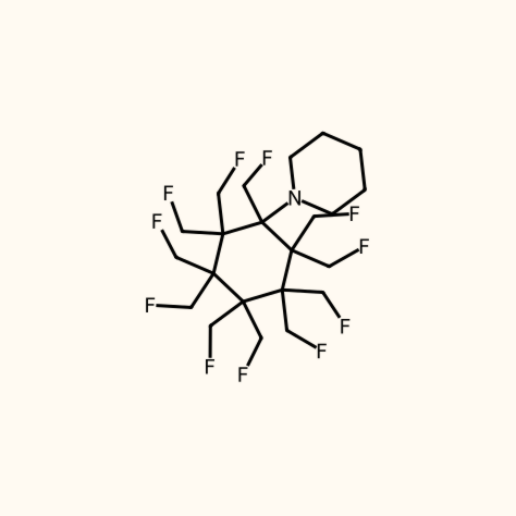 FCC1(CF)C(CF)(CF)C(CF)(CF)C(CF)(N2CCCCC2)C(CF)(CF)C1(CF)CF